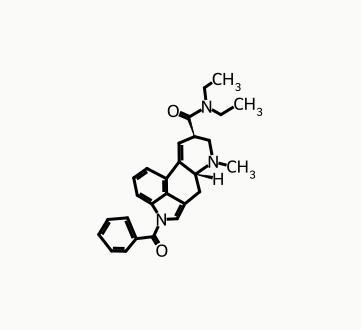 CCN(CC)C(=O)[C@@H]1C=C2c3cccc4c3c(cn4C(=O)c3ccccc3)C[C@H]2N(C)C1